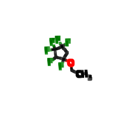 CCOC1(F)CC(F)(F)C(F)(F)C1F